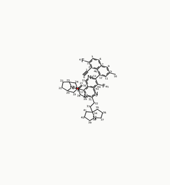 C#Cc1c(F)ccc2cc(C)cc(-c3ncc4c(N5CC6CCC(C5)N6C(=C)CC)nc(CCC56CCCN5CCC6)nc4c3F)c12